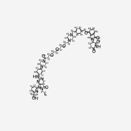 C=CCn1c(=O)c2cnc(Nc3ccc(N4CCN(C(=O)CCOCCOCCOCCN5CCN(Cc6ccc(COc7cccc8c7CN(C7CCC(=O)NC7=O)C8=O)cc6)CC5)CC4)cc3)nc2n1-c1cccc(C(C)(C)O)n1